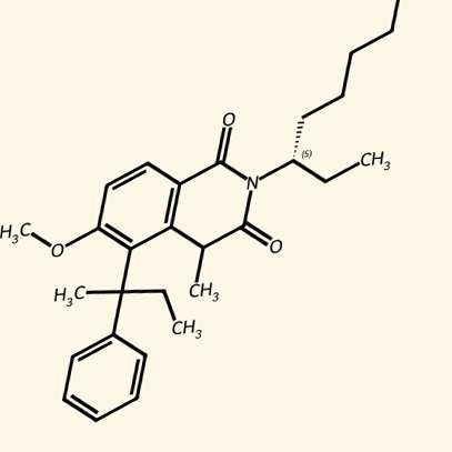 CCCCC[C@H](CC)N1C(=O)c2ccc(OC)c(C(C)(CC)c3ccccc3)c2C(C)C1=O